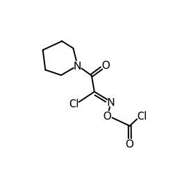 O=C(Cl)O/N=C(\Cl)C(=O)N1CCCCC1